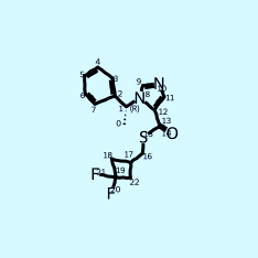 C[C@H](c1ccccc1)n1cncc1C(=O)SCC1CC(F)(F)C1